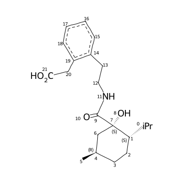 CC(C)[C@@H]1CC[C@@H](C)C[C@@]1(O)C(=O)NCCc1ccccc1CC(=O)O